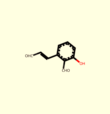 O=C/C=C/c1cccc(O)c1C=O